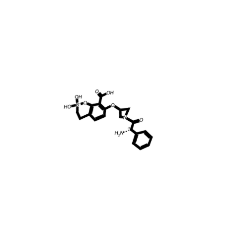 N[C@H](C(=O)N1CC(Oc2ccc3c(c2C(=O)O)O[B-](O)(O)CC3)C1)c1ccccc1